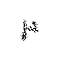 CC(C)OCCCOc1nn([C@H]2CC[C@H](N3[C@@H]4CC[C@H]3COC4)CC2)cc1Nc1ncc(-c2ccc(C#N)c(O[C@@H](C)Cn3cncn3)c2)cn1